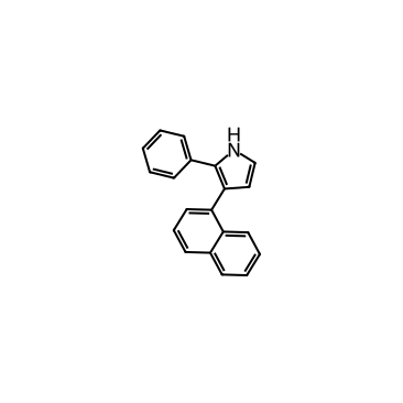 c1ccc(-c2[nH]ccc2-c2cccc3ccccc23)cc1